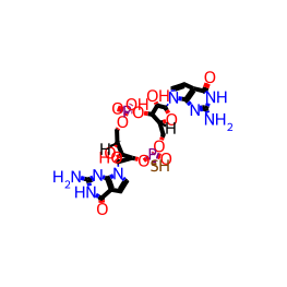 Nc1nc2c(ccn2[C@@H]2O[C@@H]3COP(=O)(S)OC4C(O)[C@@H](COP(=O)(O)OC3C2O)O[C@H]4n2ccc3c(=O)[nH]c(N)nc32)c(=O)[nH]1